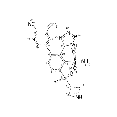 Cc1cc(-c2ccc(S(=O)(=O)C3CNC3)c(S(N)(=O)=O)c2-c2nnn[nH]2)cnc1C#N